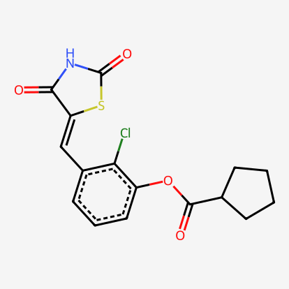 O=C1NC(=O)C(=Cc2cccc(OC(=O)C3CCCC3)c2Cl)S1